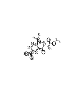 C=C(C(=O)OCC)c1cn(C(C)C)c2ccc([N+](=O)[O-])cc2c1=O